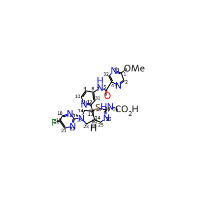 COc1cnc(C(=O)Nc2ccnc([C@]34CN(c5ncc(F)cn5)C[C@@H]3CN=C(NC(=O)O)S4)c2)cn1